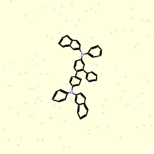 c1ccc(-c2cc(N(c3ccccc3)c3ccc4ccccc4c3)ccc2-c2ccc(N(c3ccccc3)c3ccc4ccccc4c3)cc2)cc1